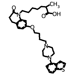 CC(CCCCCN1C(=O)CCc2ccc(OCCCCN3CCN(c4cccc5sccc45)CC3)cc21)C(=O)O